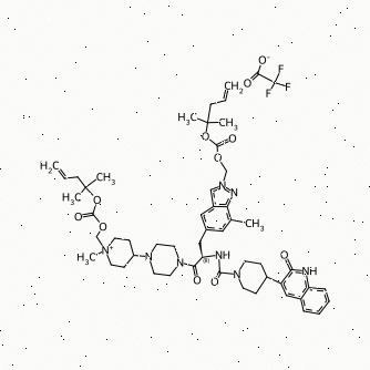 C=CCC(C)(C)OC(=O)OCn1cc2cc(C[C@@H](NC(=O)N3CCC(c4cc5ccccc5[nH]c4=O)CC3)C(=O)N3CCN(C4CC[N+](C)(COC(=O)OC(C)(C)CC=C)CC4)CC3)cc(C)c2n1.O=C([O-])C(F)(F)F